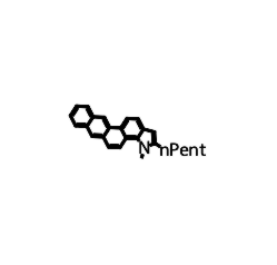 CCCCCc1cc2ccc3c4cc5ccccc5cc4ccc3c2n1C